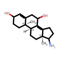 C[C@]12CC[C@@H]3C(=C1CCC2N)C(O)CC1=CC(O)CC[C@@]13C